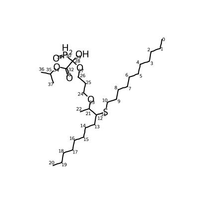 CCCCCCCCCCCSC(CCCCCCCC)C(C)OCCCOC(O)([PH2]=O)C(=O)OC(C)C